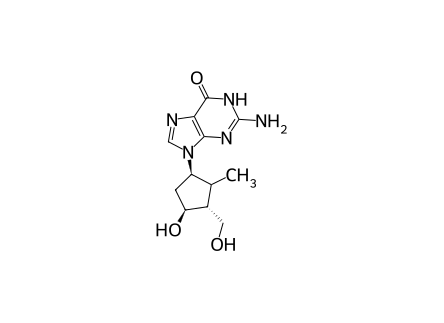 CC1[C@H](n2cnc3c(=O)[nH]c(N)nc32)C[C@H](O)[C@H]1CO